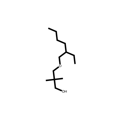 CCCCC(CC)COCC(C)(C)CO